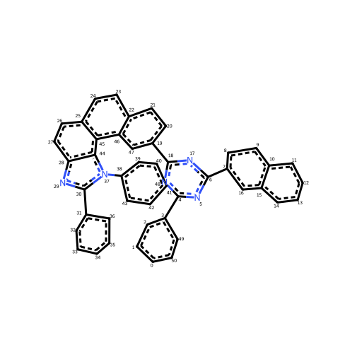 c1ccc(-c2nc(-c3ccc4ccccc4c3)nc(-c3ccc4ccc5ccc6nc(-c7ccccc7)n(-c7ccccc7)c6c5c4c3)n2)cc1